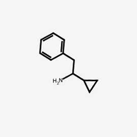 NC(Cc1ccccc1)C1CC1